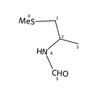 CSCC(C)NC=O